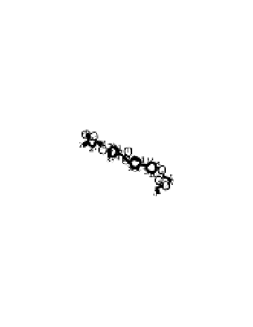 C=CC(=O)OC(CC)Oc1ccc(-c2ccc(OC(=O)c3ccc(OCC4CC(=C)C(=O)O4)cc3)cc2)cc1